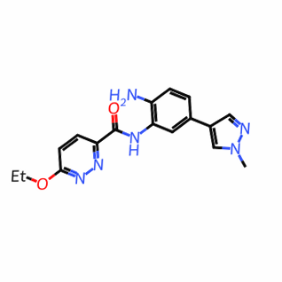 CCOc1ccc(C(=O)Nc2cc(-c3cnn(C)c3)ccc2N)nn1